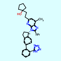 CCCc1nc2c(C)cc(CCC3(O)CCCC3)nc2n1[C@H]1CCc2cc(-c3ccccc3-c3nnn[nH]3)ccc21